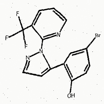 Oc1ccc(Br)cc1-c1ccnn1-c1ncccc1C(F)(F)F